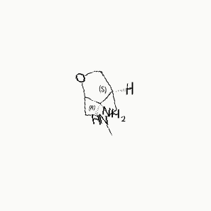 CN1CC2OC[C@@H](C1)[C@H]2N